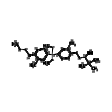 CCC(CC)(c1ccc(CCC(O)C(C)(C)C)c(C)c1)c1ccc(OCCN)c(C)c1